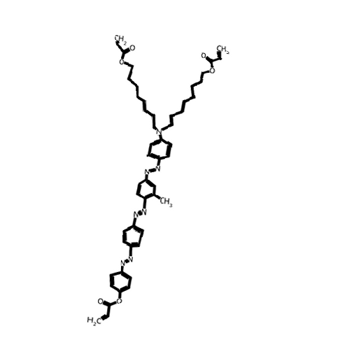 C=CC(=O)OCCCCCCCCN(CCCCCCCCOC(=O)C=C)c1ccc(N=Nc2ccc(N=Nc3ccc(N=Nc4ccc(OC(=O)C=C)cc4)cc3)c(C)c2)cc1